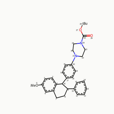 COc1ccc2c(c1)CCC(c1ccccc1)C2c1ccc(N2CCN(C(=O)OC(C)(C)C)CC2)cc1